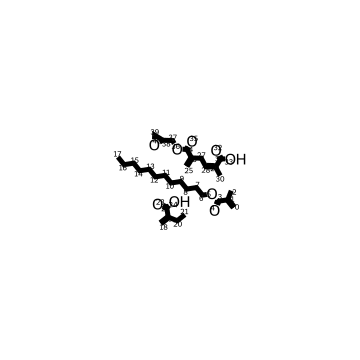 C=C(C)C(=O)OCCCCCCCCCCCC.C=C(CC)C(=O)O.C=C(CC=C(C)C(=O)O)C(=O)OCC1CO1